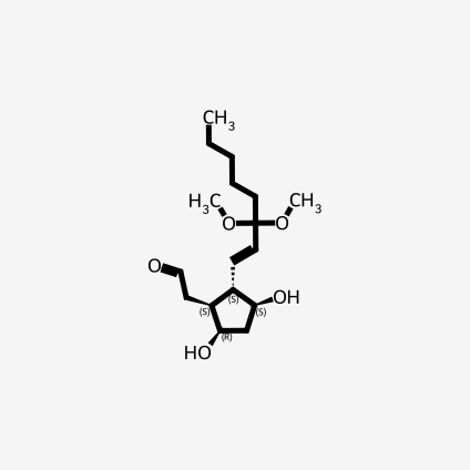 CCCCCC(C=C[C@H]1[C@H](CC=O)[C@H](O)C[C@@H]1O)(OC)OC